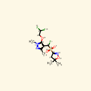 Cn1nc(C(F)(F)F)c(C(F)S(=O)(=O)C2=NOC(C)(C)C2)c1OCC(F)F